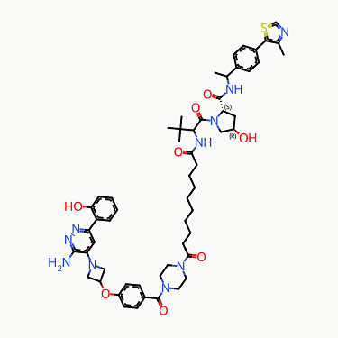 Cc1ncsc1-c1ccc(C(C)NC(=O)[C@@H]2C[C@@H](O)CN2C(=O)C(NC(=O)CCCCCCCCC(=O)N2CCN(C(=O)c3ccc(OC4CN(c5cc(-c6ccccc6O)nnc5N)C4)cc3)CC2)C(C)(C)C)cc1